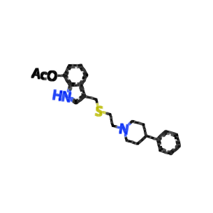 CC(=O)Oc1cccc2c(CSCCN3CCC(c4ccccc4)CC3)c[nH]c12